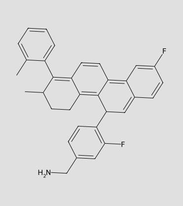 Cc1ccccc1C1=c2ccc3c(c2CCC1C)C(c1ccc(CN)cc1F)C=c1ccc(F)cc1=3